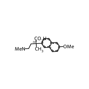 CNCC[C@](C)(C(=O)O)c1ccc2cc(OC)ccc2c1